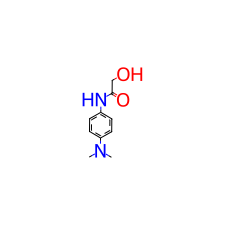 CN(C)c1ccc(NC(=O)CO)cc1